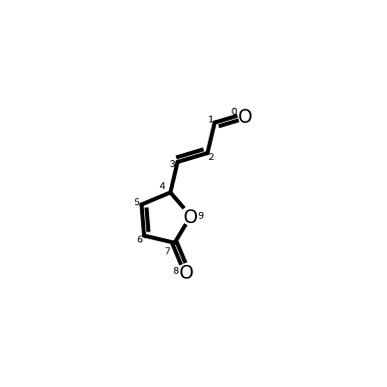 O=CC=CC1C=CC(=O)O1